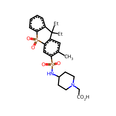 CCC1(CC)c2ccccc2S(=O)(=O)c2cc(S(=O)(=O)NC3CCN(CC(=O)O)CC3)c(C)cc21